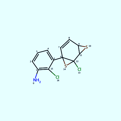 Nc1cccc(C23C=CC4SC4C2(Cl)S3)c1Cl